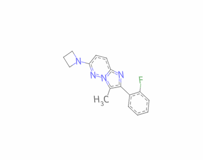 Cc1c(-c2ccccc2F)nc2ccc(N3CCC3)nn12